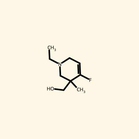 CCN1CC=C(F)C(C)(CO)C1